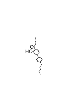 CCCCCc1ccc(-c2ccc(C(=O)CCCC)c(O)c2)cc1